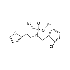 CCOP(=O)(OCC)N(CCc1cccs1)Cc1ccccc1Cl